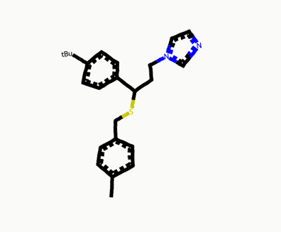 Cc1ccc(CSC(CCn2ccnc2)c2ccc(C(C)(C)C)cc2)cc1